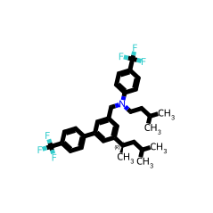 CC(C)CCN(Cc1cc(-c2ccc(C(F)(F)F)cc2)cc([C@H](C)CC(C)C)c1)c1ccc(C(F)(F)F)cc1